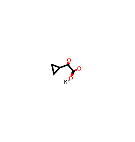 O=C([O-])C(=O)C1CC1.[K+]